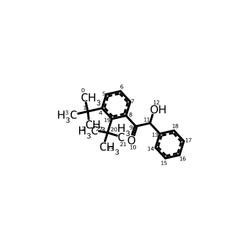 CC(C)(C)c1cccc(C(=O)C(O)c2ccccc2)c1C(C)(C)C